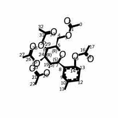 CC(=O)OC[C@H]1O[C@@H](c2cc(C)ccc2OC(C)=O)[C@H](OC(C)=O)[C@@H](OC(C)=O)[C@@H]1OC(C)=O